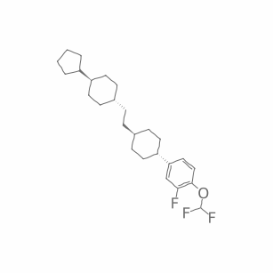 Fc1cc([C@H]2CC[C@H](CC[C@H]3CC[C@H](C4CCCC4)CC3)CC2)ccc1OC(F)F